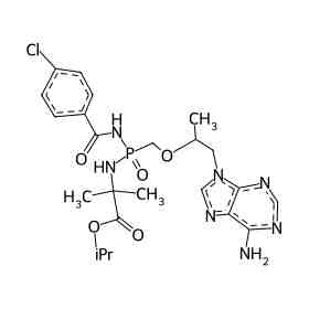 CC(C)OC(=O)C(C)(C)NP(=O)(COC(C)Cn1cnc2c(N)ncnc21)NC(=O)c1ccc(Cl)cc1